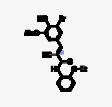 CCOc1ccccc1NC(=O)/C(C#N)=C/c1cc(Br)c(O)c(OC)c1